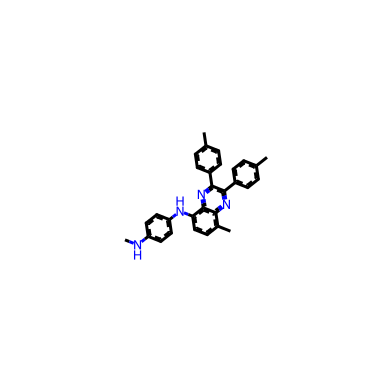 CNc1ccc(Nc2ccc(C)c3nc(-c4ccc(C)cc4)c(-c4ccc(C)cc4)nc23)cc1